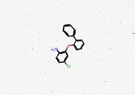 Nc1ccc(Cl)cc1Oc1ccccc1-c1ccccc1